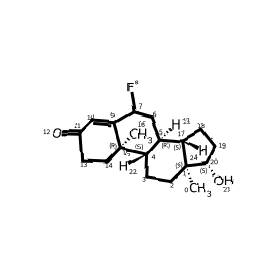 C[C@]12CC[C@H]3[C@@H](CC(F)C4=CC(=O)CC[C@@]43C)[C@@H]1CC[C@@H]2O